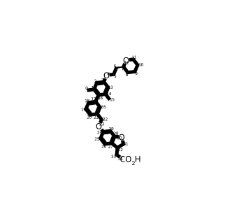 Cc1cc(OCC[C@@H]2CCCCO2)cc(C)c1-c1cccc(COc2ccc3c(c2)OCC3CC(=O)O)c1